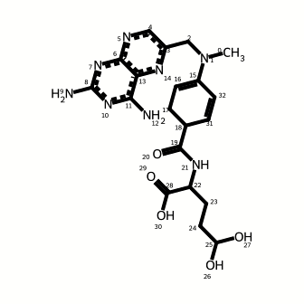 CN(Cc1cnc2nc(N)nc(N)c2n1)C1=CCC(C(=O)NC(CCC(O)O)C(=O)O)C=C1